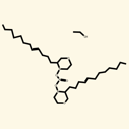 CCCCCCCC=CCCCC1COCCN1O[N+](=O)ON1CCOCC1CCCC=CCCCCCCC.CCO